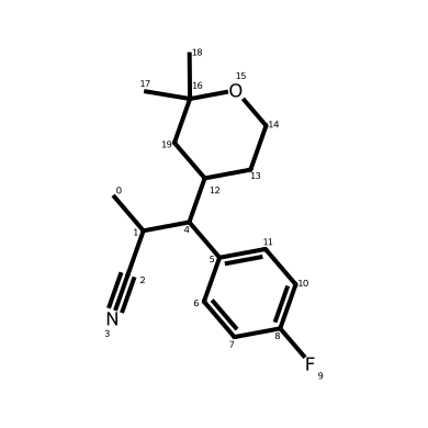 CC(C#N)C(c1ccc(F)cc1)C1CCOC(C)(C)C1